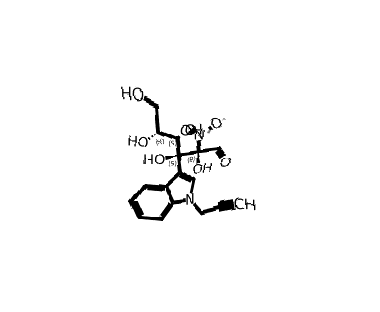 C#CCn1cc([C@](O)([C@@H](O)[C@H](O)CO)[C@@](O)(C=O)[N+](=O)[O-])c2ccccc21